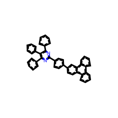 c1ccc(-c2nc(-c3ccc(-c4ccc5c6ccccc6c6ccccc6c5c4)cc3)nc(-c3ccccc3)c2-c2ccccc2)cc1